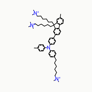 Cc1ccc(N(c2ccc(CCCCCC[N+](C)(C)C)cc2)c2ccc(-c3ccc4c(c3)C(CCCCCC[N+](C)(C)C)(CCCCCC[N+](C)(C)C)c3cc(C)ccc3-4)cc2)cc1